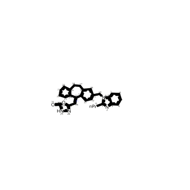 CCCc1nc2ccccc2n1Cc1ccc2c(c1)CCc1ccccc1/C2=C\c1n[nH]c(=O)o1